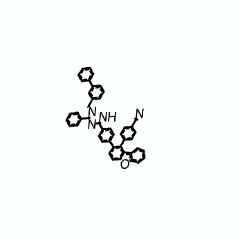 N#Cc1ccc(-c2c(-c3ccc(C(=N)/N=C(\N=C\c4cccc(-c5ccccc5)c4)c4ccccc4)cc3)ccc3oc4ccccc4c23)cc1